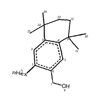 CCCCCCc1cc2c(cc1CO)C(C)(C)CCC2(C)C